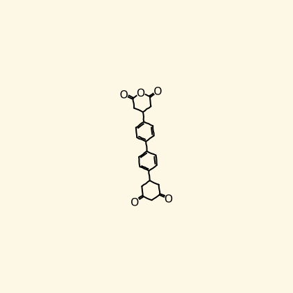 O=C1CC(=O)CC(c2ccc(-c3ccc(C4CC(=O)OC(=O)C4)cc3)cc2)C1